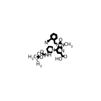 Cn1c(=O)n(Cc2ccccc2C#N)c2c(N3CCC[C@@H](NC(=O)OC(C)(C)C)C3)cc(C(=O)O)nc21